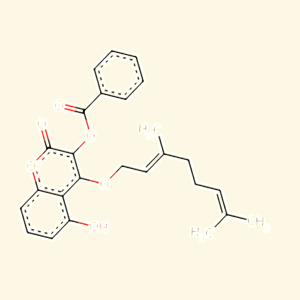 CC(C)=CCC/C(C)=C/COc1c(OC(=O)c2ccccc2)c(=O)oc2cccc(O)c12